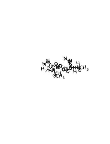 C=C/C=C(CNCCNC(C)=O)\C(=C/CC(=O)N1CCc2c(-c3cccc4c3CCN4C(=O)c3ccc(CNCCNC(C)=O)c(OCc4cncc(C#N)c4)c3)cccc21)OCc1cncc(C#N)c1